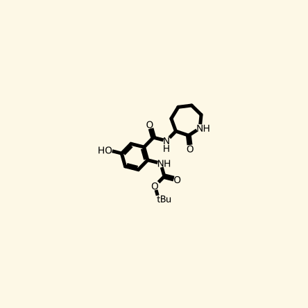 CC(C)(C)OC(=O)Nc1ccc(O)cc1C(=O)NC1CCCCNC1=O